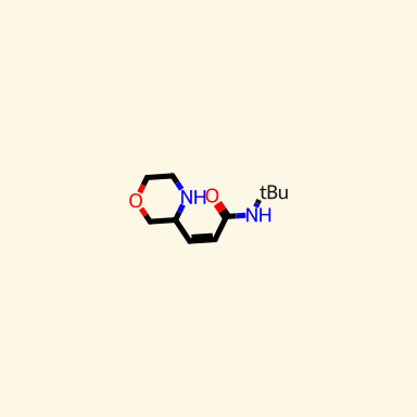 CC(C)(C)NC(=O)/C=C\C1COCCN1